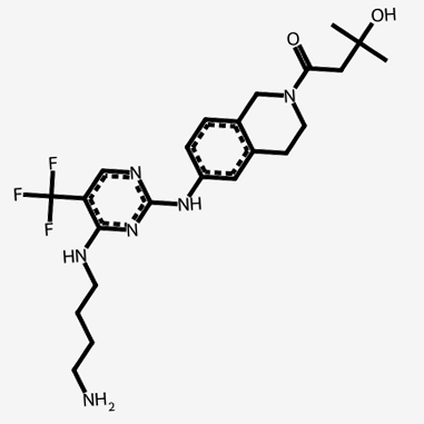 CC(C)(O)CC(=O)N1CCc2cc(Nc3ncc(C(F)(F)F)c(NCCCCN)n3)ccc2C1